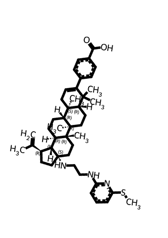 C=C(C)[C@@H]1CC[C@]2(NCCNc3cccc(SC)n3)CC[C@]3(C)[C@H](CC[C@@H]4[C@@]5(C)CC=C(c6ccc(C(=O)O)cc6)C(C)(C)[C@@H]5CC[C@]43C)[C@@H]12